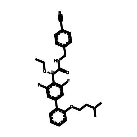 CCO[C@H](C(=O)NCc1ccc(C#N)cc1)c1c(F)cc(-c2ccccc2OCCN(C)C)cc1F